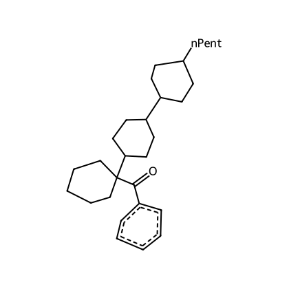 CCCCCC1CCC(C2CCC(C3(C(=O)c4ccccc4)CCCCC3)CC2)CC1